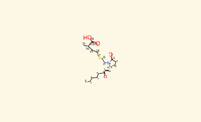 CCCCCC(=O)C=C[C@H]1CCC(=O)N1CCSCCC(C)C(=O)O